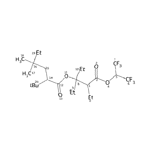 CCC(C(=O)OC(C(F)(F)F)C(F)(F)F)C(CC)(CC)OC(=O)C(CC(C)(C)CC)C(C)(C)C